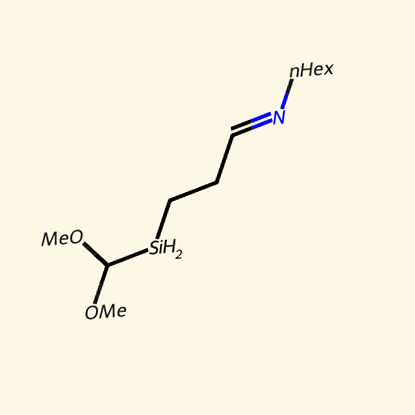 CCCCCCN=CCC[SiH2]C(OC)OC